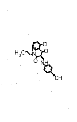 C#Cc1ccc(NC=C(C(=O)NCCC)C(=O)c2ccccc2Cl)cc1